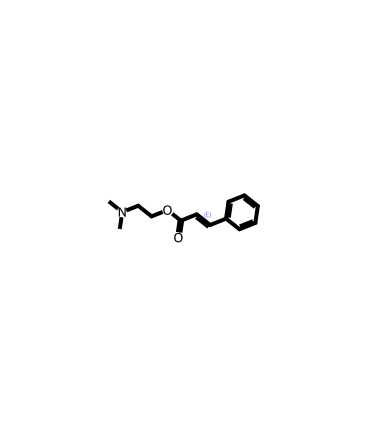 CN(C)CCOC(=O)/C=C/c1ccccc1